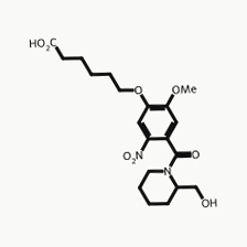 COc1cc(C(=O)N2CCCCC2CO)c([N+](=O)[O-])cc1OCCCCCC(=O)O